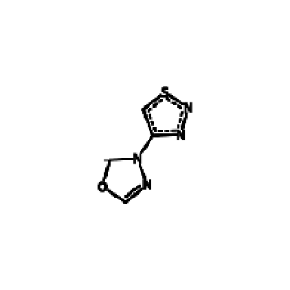 [CH]1OC=NN1c1csnn1